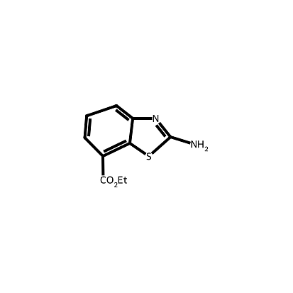 CCOC(=O)c1cccc2nc(N)sc12